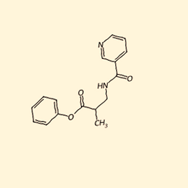 CC(CNC(=O)c1cccnc1)C(=O)Oc1ccccc1